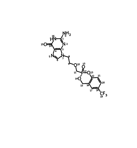 Nc1nc2c(ncn2CCOCP2(=O)OCc3cc(C(F)(F)F)ccc3O2)c(=O)[nH]1